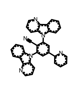 N#Cc1c(-n2c3ccccc3c3ncccc32)cc(-c2ccccn2)cc1-n1c2ccccc2c2ncccc21